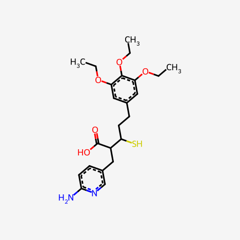 CCOc1cc(CCC(S)C(Cc2ccc(N)nc2)C(=O)O)cc(OCC)c1OCC